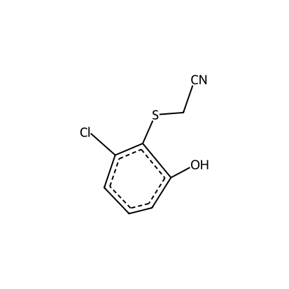 N#CCSc1c(O)cccc1Cl